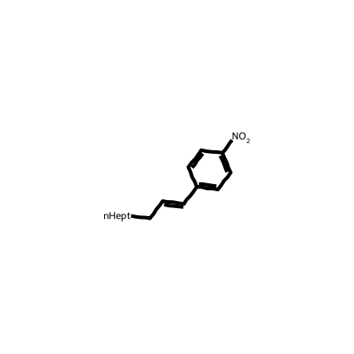 CCCCCCCCC=Cc1ccc([N+](=O)[O-])cc1